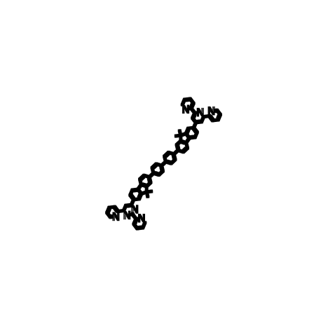 CC1(C)c2cc(-c3ccc(-c4ccc(-c5ccc6c(c5)C(C)(C)c5cc(-c7cc(-c8ccccn8)nc(-c8ccccn8)n7)ccc5-6)cc4)cc3)ccc2-c2ccc(-c3cc(-c4ccccn4)nc(-c4ccccn4)c3)cc21